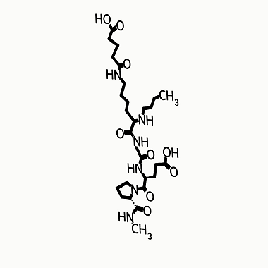 CCCCNC(CCCCNC(=O)CCCC(=O)O)C(=O)NCC(=O)N[C@@H](CCC(=O)O)C(=O)N1CCC[C@H]1C(=O)NC